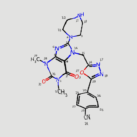 Cn1c(=O)c2c(nc(N3CCNCC3)n2Cc2nnc(-c3ccc(C#N)cc3)o2)n(C)c1=O